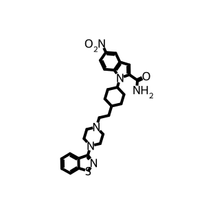 NC(=O)c1cc2cc([N+](=O)[O-])ccc2n1C1CCC(CCN2CCN(c3nsc4ccccc34)CC2)CC1